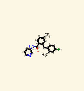 Cc1cc(F)ccc1Cc1cc(C(F)(F)F)ccc1C(=O)Nc1cccnc1